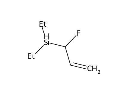 C=CC(F)[SiH](CC)CC